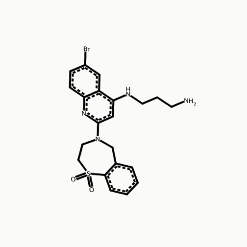 NCCCNc1cc(N2CCS(=O)(=O)c3ccccc3C2)nc2ccc(Br)cc12